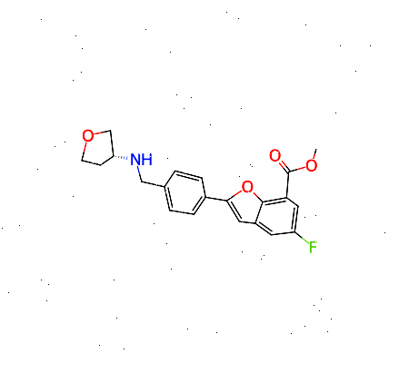 COC(=O)c1cc(F)cc2cc(-c3ccc(CN[C@@H]4CCOC4)cc3)oc12